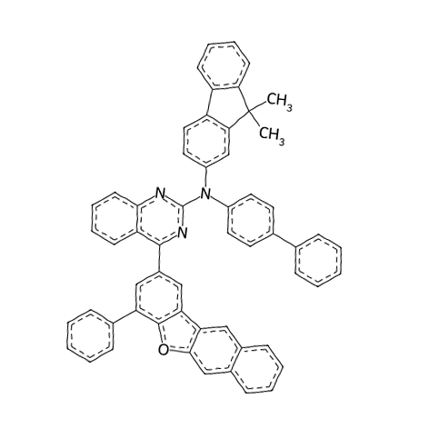 CC1(C)c2ccccc2-c2ccc(N(c3ccc(-c4ccccc4)cc3)c3nc(-c4cc(-c5ccccc5)c5oc6cc7ccccc7cc6c5c4)c4ccccc4n3)cc21